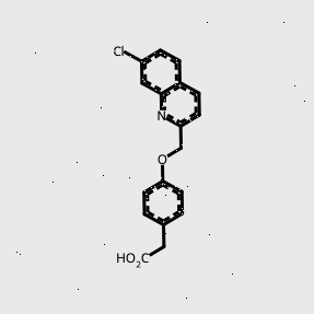 O=C(O)Cc1ccc(OCc2ccc3ccc(Cl)cc3n2)cc1